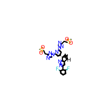 CC1(C)[C@H]2CC[C@]1(c1cc(-n3cnc(CCS(C)(=O)=O)n3)nc(-n3cnc(CCS(C)(=O)=O)n3)c1)c1nnc(-c3c(F)cccc3F)cc12